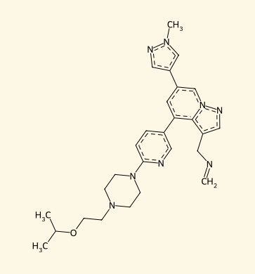 C=NCc1cnn2cc(-c3cnn(C)c3)cc(-c3ccc(N4CCN(CCOC(C)C)CC4)nc3)c12